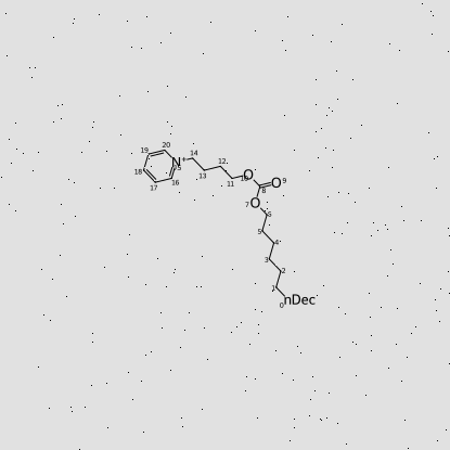 CCCCCCCCCCCCCCCCOC(=O)OCCCC[n+]1ccccc1